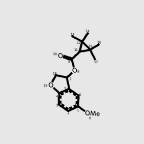 COc1ccc2c(c1)C(OC(=O)C1C(C)(C)C1(C)C)CO2